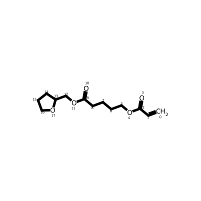 C=CC(=O)OCCCCC(=O)OCC1CCCO1